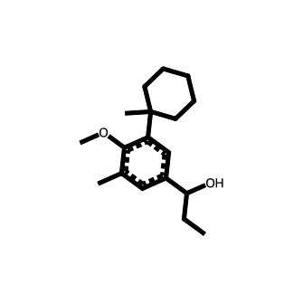 CCC(O)c1cc(C)c(OC)c(C2(C)CCCCC2)c1